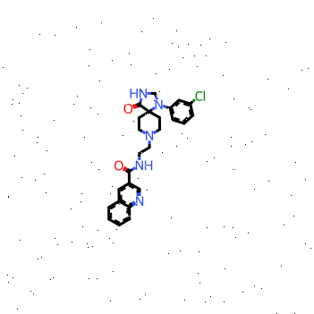 O=C(NCCN1CCC2(CC1)C(=O)NCN2c1cccc(Cl)c1)c1cnc2ccccc2c1